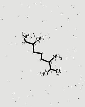 CCC(O)C(N)CCCC(O)CN